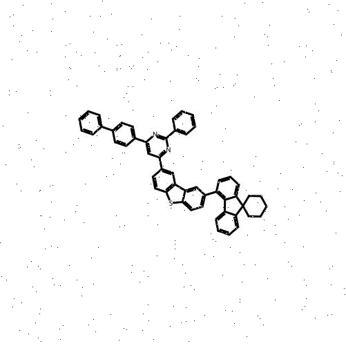 c1ccc(-c2ccc(-c3cc(-c4ccc5sc6ccc(-c7cccc8c7-c7ccccc7C87CCCCC7)cc6c5c4)nc(-c4ccccc4)n3)cc2)cc1